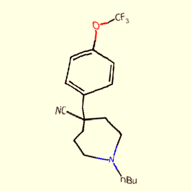 CCCCN1CCC(C#N)(c2ccc(OC(F)(F)F)cc2)CC1